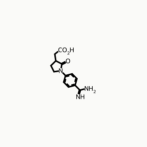 N=C(N)c1ccc(N2CCC(CC(=O)O)C2=O)cc1